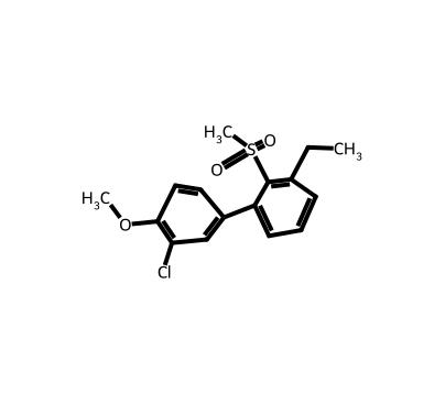 CCc1cccc(-c2ccc(OC)c(Cl)c2)c1S(C)(=O)=O